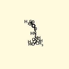 CC(C)(CO)C(O)C(=O)NCCNCCOc1ccc(S(C)(=O)=O)cc1